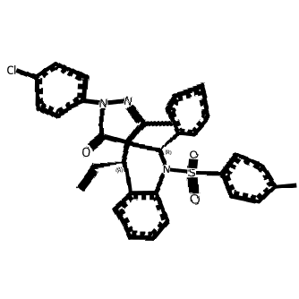 C=C[C@@H]1c2ccccc2N(S(=O)(=O)c2ccc(C)cc2)[C@H](c2ccccc2)C12C(=O)N(c1ccc(Cl)cc1)N=C2C